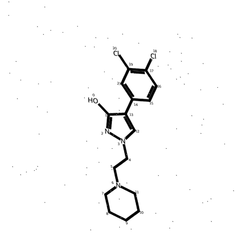 Oc1nn(CCN2CCCCC2)cc1-c1ccc(Cl)c(Cl)c1